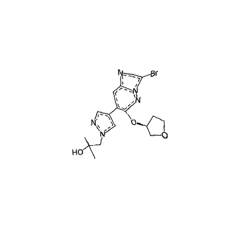 CC(C)(O)Cn1cc(-c2cc3ncc(Br)n3nc2O[C@H]2CCOC2)cn1